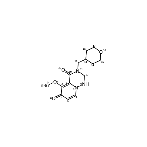 CCCCOc1c2n(ccc1=O)NCN(CC1CCOCC1)C2=O